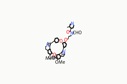 COc1cc2c3cc1Oc1c(OC)c(OC)cc4c1[C@@H](Cc1ccc(OCCCN(C=O)C(=O)c5ccncc5C)c(c1)Oc1ccc(cc1)C[C@@H]3N(C)CC2)N(C)CC4